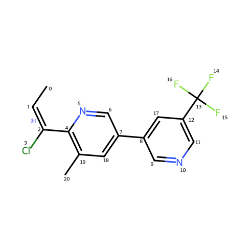 C/C=C(/Cl)c1ncc(-c2cncc(C(F)(F)F)c2)cc1C